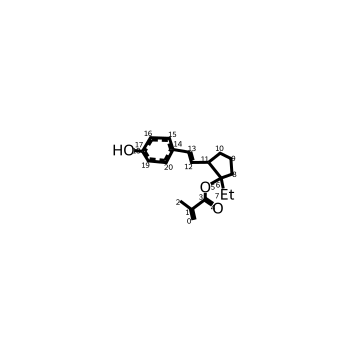 C=C(C)C(=O)OC1(CC)CCCC1C=Cc1ccc(O)cc1